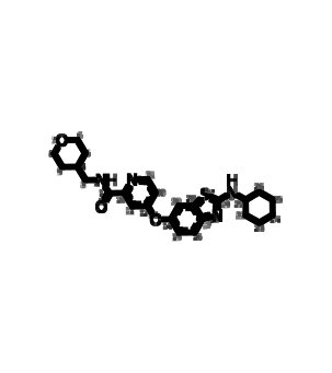 O=C(NCC1CCOCC1)c1cc(Oc2ccc3nc(NC4CCCCC4)sc3c2)ccn1